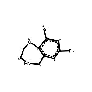 Fc1cc(Br)c2c(c1)CNCCO2